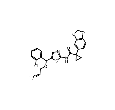 C=CCOC(c1cnc(NC(=O)C2(c3ccc4c(c3)OCO4)CC2)s1)c1ccccc1Cl